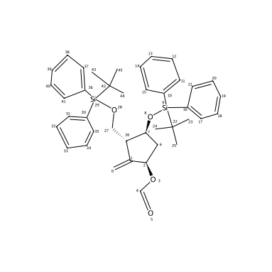 C=C1[C@H](OC=O)C[C@H](O[Si](c2ccccc2)(c2ccccc2)C(C)(C)C)[C@H]1CO[Si](c1ccccc1)(c1ccccc1)C(C)(C)C